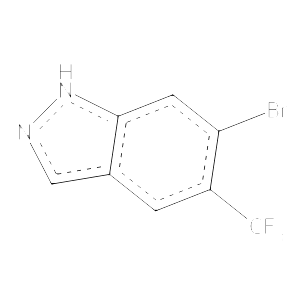 FC(F)(F)c1cc2cn[nH]c2cc1Br